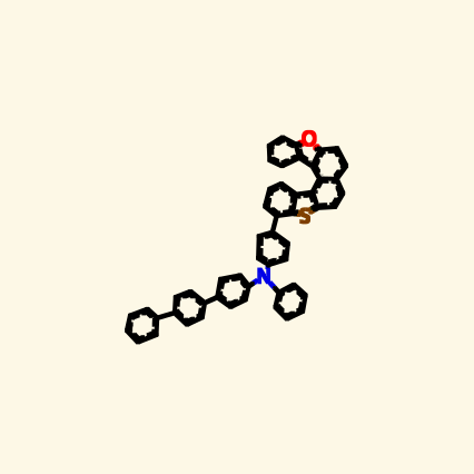 c1ccc(-c2ccc(-c3ccc(N(c4ccccc4)c4ccc(-c5cccc6c5sc5ccc7ccc8oc9ccccc9c8c7c56)cc4)cc3)cc2)cc1